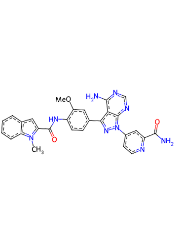 COc1cc(-c2nn(-c3ccnc(C(N)=O)c3)c3ncnc(N)c23)ccc1NC(=O)c1cc2ccccc2n1C